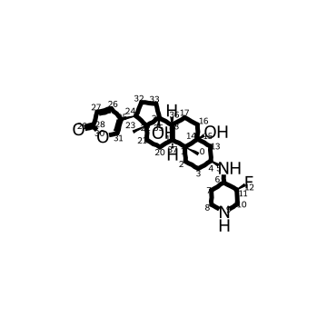 C[C@]12CC[C@H](NC3CCNC[C@@H]3F)C[C@@]1(O)CC[C@@H]1[C@@H]2CC[C@]2(C)[C@@H](c3ccc(=O)oc3)CC[C@]12O